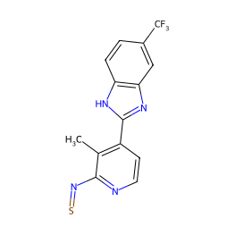 Cc1c(-c2nc3cc(C(F)(F)F)ccc3[nH]2)ccnc1N=S